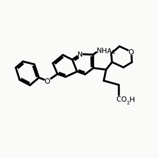 CC(=O)Nc1nc2ccc(Oc3ccccc3)cc2cc1C(CCC(=O)O)C1CCOCC1